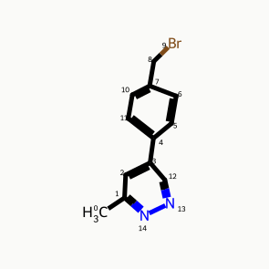 Cc1cc(-c2ccc(CBr)cc2)cnn1